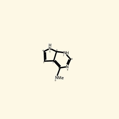 CNC1=C2C=CNC2NC=N1